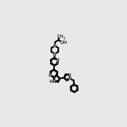 CC(O)CN1CCN(c2ccc(-c3cnc4[nH]cc(-c5cnn(Cc6ccccc6)c5)c4c3)cn2)CC1